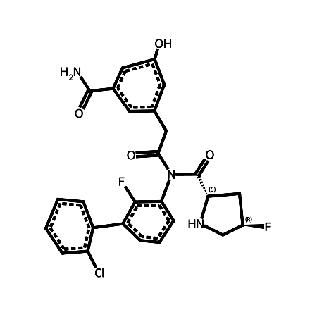 NC(=O)c1cc(O)cc(CC(=O)N(C(=O)[C@@H]2C[C@@H](F)CN2)c2cccc(-c3ccccc3Cl)c2F)c1